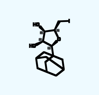 O[C@@H]1[C@H](O)[C@H](C23CC4CC(CC(C4)C2)C3)O[C@@H]1CI